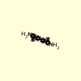 COc1cc(N)ccc1N1CCC(C2CCN(c3ccc(N)cc3OC)CC2)CC1